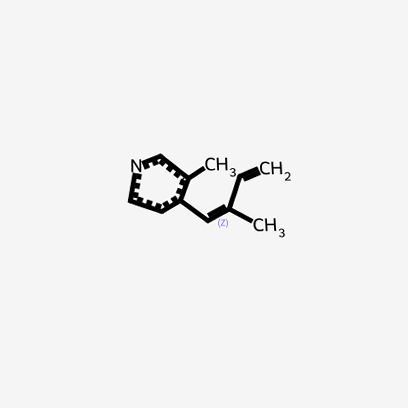 C=C/C(C)=C\c1ccncc1C